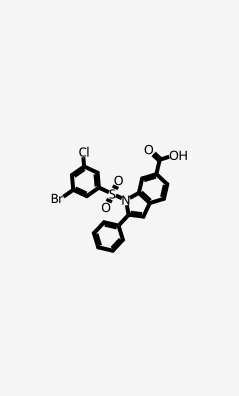 O=C(O)c1ccc2cc(-c3ccccc3)n(S(=O)(=O)c3cc(Cl)cc(Br)c3)c2c1